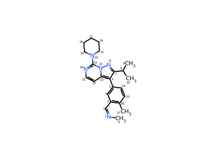 C/N=C\c1cc(-c2c(C(C)C)nn3c(N4CCCCC4)nccc23)ccc1C